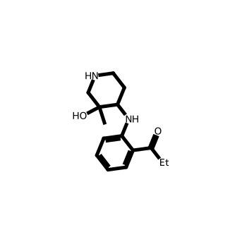 CCC(=O)c1ccccc1NC1CCNCC1(C)O